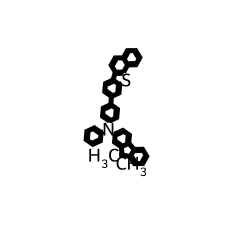 CC1(C)c2ccccc2-c2ccc(N(c3ccccc3)c3ccc(-c4ccc5c(c4)sc4c6ccccc6ccc54)cc3)cc21